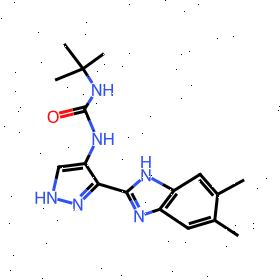 Cc1cc2nc(-c3n[nH]cc3NC(=O)NC(C)(C)C)[nH]c2cc1C